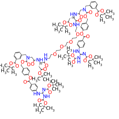 CC(C)(C)OC(=O)C[C@H](NC(=O)CN(Cc1cccc(C(=O)OC(C)(C)C)c1)C(=O)OCc1ccc(OC(=O)c2ccc(NC(=NC(=O)OC(C)(C)C)NC(=O)OC(C)(C)C)cc2)cc1)C(=O)NCCOCCOCCOCCOCCNC(=O)[C@H](CC(=O)OC(C)(C)C)NC(=O)CN(Cc1cccc(C(=O)OC(C)(C)C)c1)C(=O)OCc1ccc(OC(=O)c2ccc(NC(=NC(=O)OC(C)(C)C)NC(=O)OC(C)(C)C)cc2)cc1